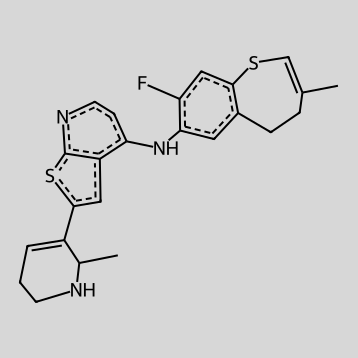 CC1=CSc2cc(F)c(Nc3ccnc4sc(C5=CCCNC5C)cc34)cc2CC1